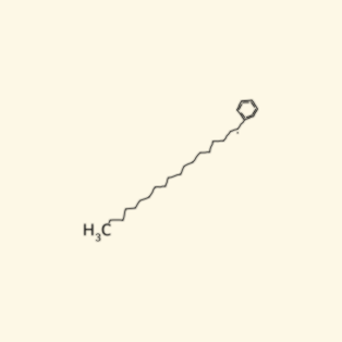 CCCCCCCCCCCCCCCCCC[CH]c1ccccc1